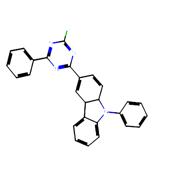 Clc1nc(C2=CC3c4ccccc4N(c4ccccc4)C3C=C2)nc(-c2ccccc2)n1